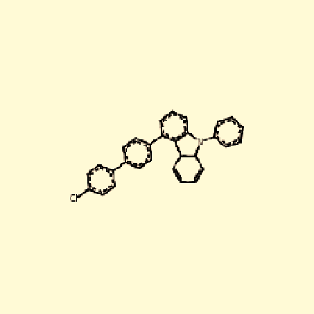 Clc1ccc(-c2ccc(-c3cccc4c3C3C=CC=CC3N4c3ccccc3)cc2)cc1